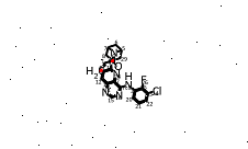 C=CC(=O)N1C2CC1CN(c1ccc3ncnc(Nc4cccc(Cl)c4F)c3n1)C2